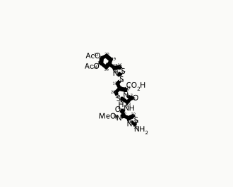 CO/N=C(\C(=O)N[C@@H]1C(=O)N2C(C(=O)O)=C(CSc3nc(-c4ccc(OC(C)=O)c(OC(C)=O)c4)cs3)CS[C@H]12)c1csc(N)n1